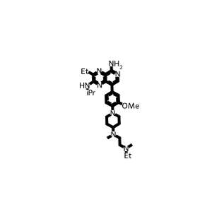 CCc1nc2c(N)ncc(-c3ccc(N4CCC(N(C)CCN(C)CC)CC4)c(OC)c3)c2nc1NC(C)C